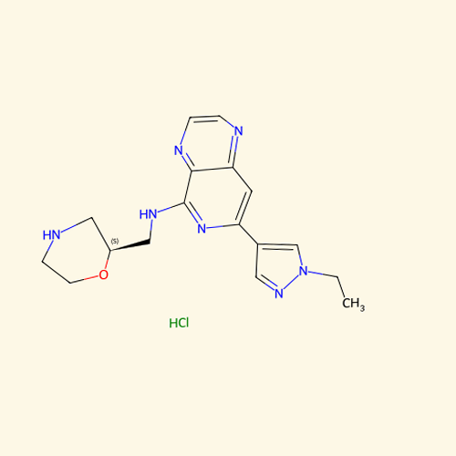 CCn1cc(-c2cc3nccnc3c(NC[C@@H]3CNCCO3)n2)cn1.Cl